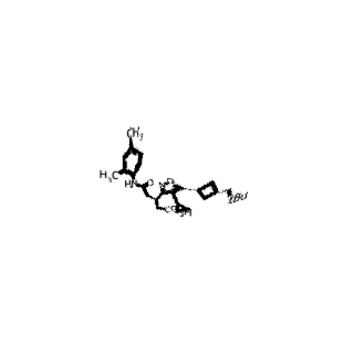 Cc1ccc(NC(=O)C[C@H](CC(=O)O)c2noc([C@H]3C[C@@H](CC(C)(C)C)C3)c2C2CC2)c(C)c1